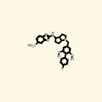 CCOc1cc(CN2CCC3C(Nc4nc5ccc(C(=O)O)cc5o4)CCC32)cc(OCC)c1-c1ccc(F)cc1